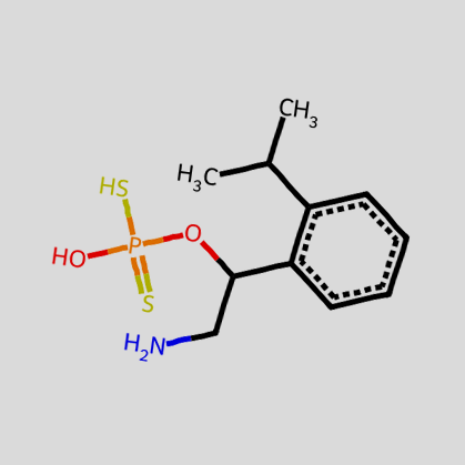 CC(C)c1ccccc1C(CN)OP(O)(=S)S